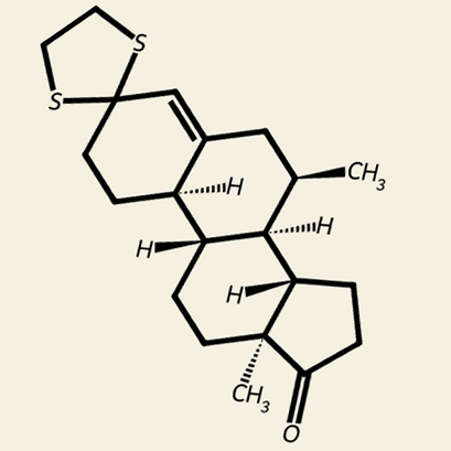 C[C@@H]1CC2=CC3(CC[C@@H]2[C@H]2CC[C@]4(C)C(=O)CC[C@H]4[C@@H]21)SCCS3